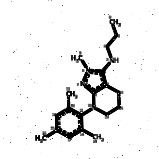 CCCNc1c2c(nn1C)N(c1c(C)cc(C)cc1C)CCC2